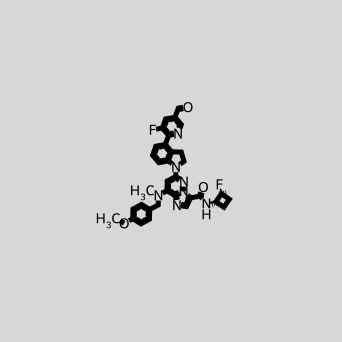 COc1ccc(CN(C)c2cc(N3CCc4c(-c5ncc(C=O)cc5F)cccc43)nn3c(C(=O)N[C@@H]4CC[C@H]4F)cnc23)cc1